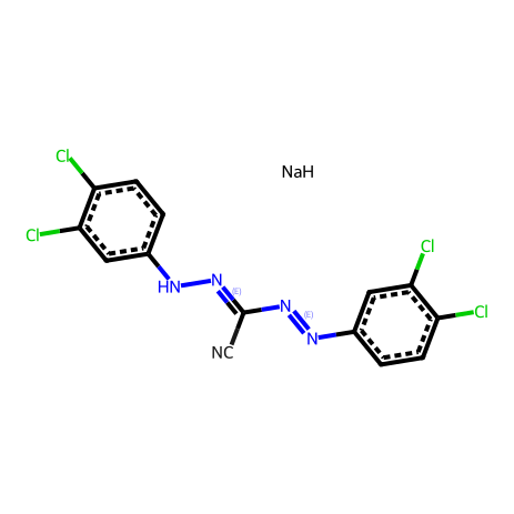 N#CC(/N=N/c1ccc(Cl)c(Cl)c1)=N\Nc1ccc(Cl)c(Cl)c1.[NaH]